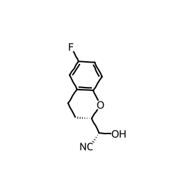 N#C[C@@H](O)[C@@H]1CCc2cc(F)ccc2O1